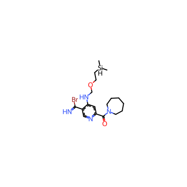 C[SiH](C)CCOCNc1cc(C(=O)N2CCCCCC2)ncc1C(=N)Br